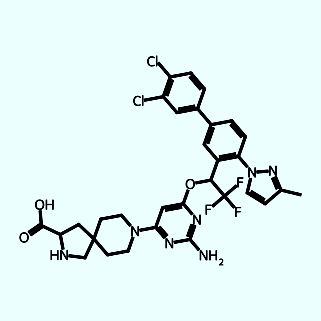 Cc1ccn(-c2ccc(-c3ccc(Cl)c(Cl)c3)cc2C(Oc2cc(N3CCC4(CC3)CNC(C(=O)O)C4)nc(N)n2)C(F)(F)F)n1